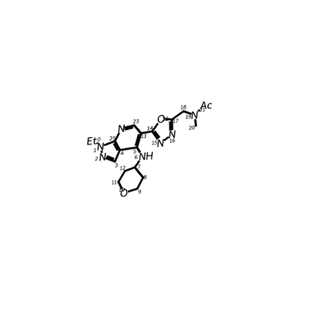 CCn1ncc2c(NC3CCOCC3)c(-c3nnc(CN(C)C(C)=O)o3)cnc21